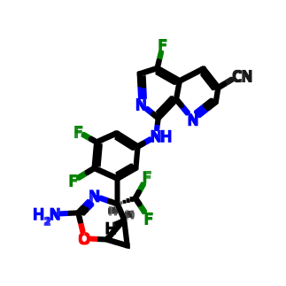 N#Cc1cnc2c(Nc3cc(F)c(F)c([C@]4(C(F)F)N=C(N)OC5C[C@H]54)c3)ncc(F)c2c1